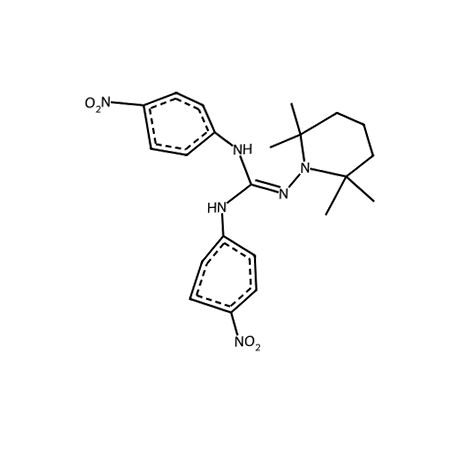 CC1(C)CCCC(C)(C)N1N=C(Nc1ccc([N+](=O)[O-])cc1)Nc1ccc([N+](=O)[O-])cc1